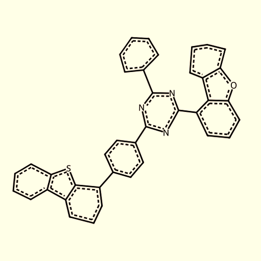 c1ccc(-c2nc(-c3ccc(-c4cccc5c4sc4ccccc45)cc3)nc(-c3cccc4oc5ccccc5c34)n2)cc1